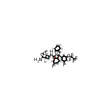 COC1[C@H](NC(=O)N[C@](Cc2ccccc2)(c2ccc(F)cc2)c2cc(F)cc(OC(F)(F)C(F)F)c2)C[C@@]1(C)C(N)=O